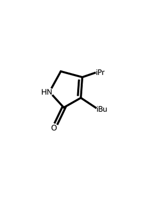 CCC(C)C1=C(C(C)C)CNC1=O